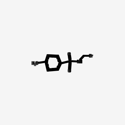 Cc1ccc(S(=O)(=O)NCBr)cc1